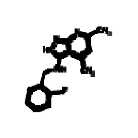 Cc1cc(C)c2c(NCc3ccccc3F)[nH]nc2n1